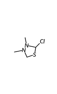 CN1CSC(Cl)N1C